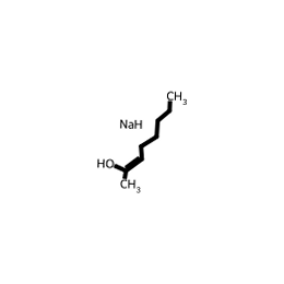 CCCCCC=C(C)O.[NaH]